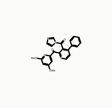 COc1cc(OC)nc(C(=O)c2nccc(-c3ccccc3)c2C(=O)n2ccnc2)c1